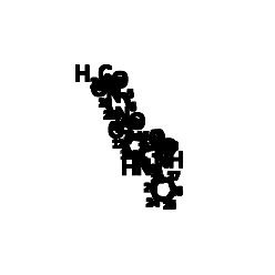 CS(=O)(=O)N1CCN(S(=O)(=O)c2ccc3c(c2)S(=O)(=O)NC(C2CCCCC2)N3)CC1